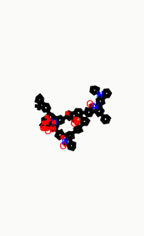 CC1(C)c2ccccc2-c2ccc(-c3cc4c5ccccc5c(=O)n5c6ccc(-c7ccc8c(c7)C(C)(C)c7c-8ccc(-c8ccc9c(c8)c(=O)n8c%10cc%11c(cc%10c%10cc(-c%12ccccc%12)cc9c%108)c8ccccc8n%11-c8ccccc8)c7-c7cccc8c7S(=O)(=O)c7cc(-c9cc%10c%11ccccc%11c(=O)n%11c%12ccc(-c%13ccc%14c(c%13)S(=O)(=O)c%13ccccc%13-%14)cc%12c(c9)c%10%11)ccc7-8)cc6c(c3)c45)cc21